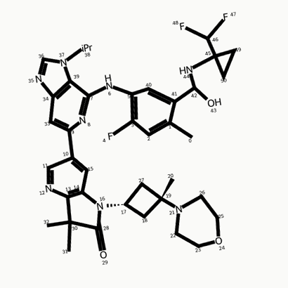 Cc1cc(F)c(Nc2nc(-c3cnc4c(c3)N([C@H]3C[C@@](C)(N5CCOCC5)C3)C(=O)C4(C)C)cc3ncn(C(C)C)c23)cc1C(O)NC1(C(F)F)CC1